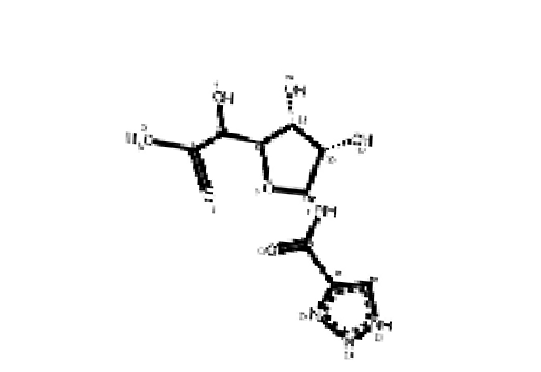 CC(=O)C(O)[C@@H]1O[C@@H](NC(=O)c2c[nH]nn2)[C@@H](O)[C@H]1O